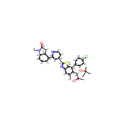 CC(=O)[C@@H](OC(C)(C)C)c1c(C)cc2nc(-c3ccnc(-c4cccc5c4CC(=O)N5C)c3)sc2c1-c1ccc(Cl)cc1